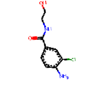 Nc1ccc(C(=O)NCCO)cc1Cl